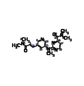 CN(C)C(=O)/C=C/c1cncc(N(C)c2nccc(C(=O)N(C)C)n2)c1